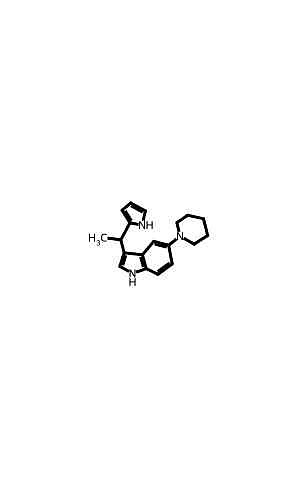 CC(c1ccc[nH]1)c1c[nH]c2ccc(N3CCCCC3)cc12